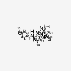 CCOCC1=Nc2c(NCc3ccc(OC)cc3)nc(C)c(C)c2[N+]1(N)Cc1ccccc1